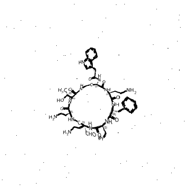 CC(C)C[C@@H]1NC(=O)[C@@H](Cc2ccccc2)NC(=O)[C@H](CCN)NC(=O)[C@@H](NC(=O)Cc2c[nH]c3ccccc23)CCNC(=O)[C@H]([C@@H](C)O)NC(=O)[C@H](CCN)NC[C@](C=O)(CCN)NC1=O